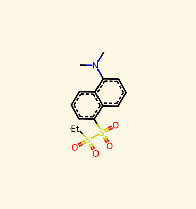 C[CH]S(=O)(=O)S(=O)(=O)c1cccc2c(N(C)C)cccc12